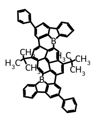 CC(C)(C)c1cc2c3c(cc4c(C(C)(C)C)cc5c6c(cc1c3c46)B1c3ccccc3-c3cc(-c4ccccc4)cc-5c31)B1c3ccccc3-c3cc(-c4ccccc4)cc-2c31